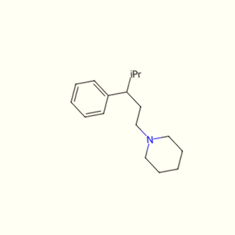 CC(C)C(CCN1CCCCC1)c1ccccc1